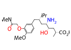 CNC(=O)COc1cc(C[C@@H](C[C@H](N)[C@@H](O)C[C@@H](C)C(=O)O)C(C)C)ccc1OC